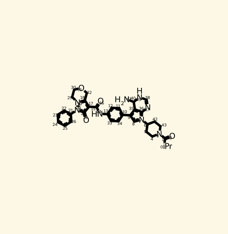 CC(C)C(=O)N1CCC(n2cc(-c3ccc(NC(=O)c4c5n(n(-c6ccccc6)c4=O)CCOC5)cc3)c3c2N=CNC3N)CC1